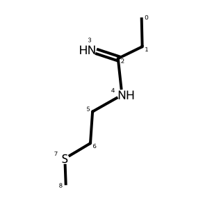 CCC(=N)NCCSC